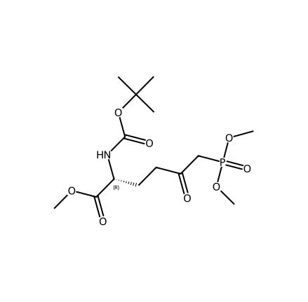 COC(=O)[C@@H](CCC(=O)CP(=O)(OC)OC)NC(=O)OC(C)(C)C